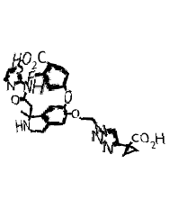 CC1(CC(=O)Nc2nccs2)NCCc2cc(OCCn3cc(C4(C(=O)O)CC4)nn3)c(Oc3ccc(C(=O)O)c(F)c3)cc21